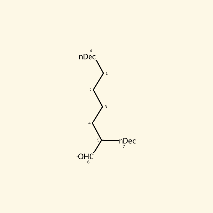 CCCCCCCCCCCCCCC([C]=O)CCCCCCCCCC